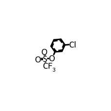 O=S(=O)(Oc1cccc(Cl)c1)C(F)(F)F